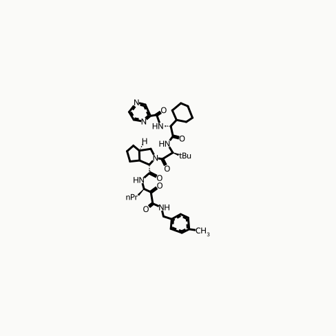 CCC[C@@H](NC(=O)[C@@H]1C2CCC[C@H]2CN1C(=O)[C@@H](NC(=O)[C@H](NC(=O)c1cnccn1)C1CCCCC1)C(C)(C)C)C(=O)C(=O)NCc1ccc(C)cc1